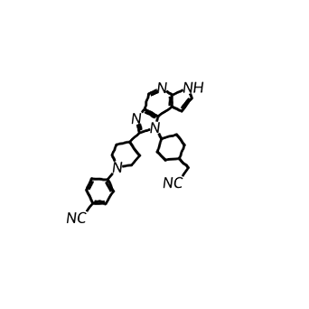 N#CCC1CCC(n2c(C3CCN(c4ccc(C#N)cc4)CC3)nc3cnc4[nH]ccc4c32)CC1